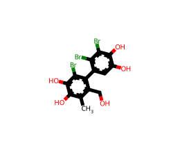 Cc1c(O)c(O)c(Br)c(-c2cc(O)c(O)c(Br)c2Br)c1CO